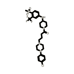 CS(=O)(=O)c1ccc(NC2CCN(C(=O)CCCN3CCN(c4ccc(Cl)cc4)CC3)CC2)cc1C(F)(F)F